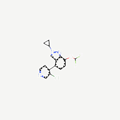 FC(F)Oc1ccc(-c2ccncc2Cl)c2cn(C3CC3)nc12